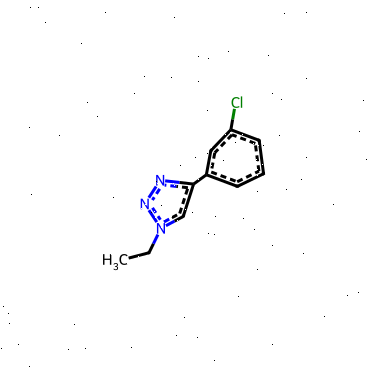 CCn1cc(-c2cccc(Cl)c2)nn1